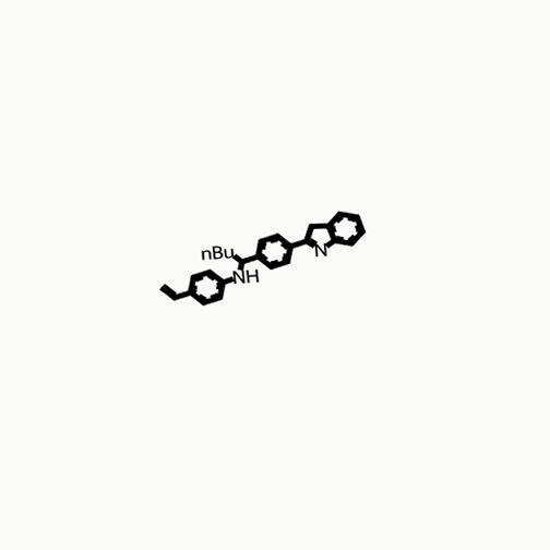 C=Cc1ccc(NC(CCCC)c2ccc(C3=Nc4ccccc4C3)cc2)cc1